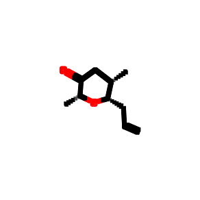 C=CC[C@@H]1O[C@H](C)C(=O)C[C@@H]1C